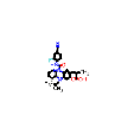 CC(C)CN(c1ccc(CC(C)C(=O)O)cc1NC(=O)Nc1ccc(C#N)cc1F)C1CCCCC1